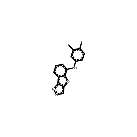 Fc1ccc(Nc2cccc3c2oc2c[nH]nc23)cc1Cl